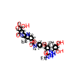 CCNC(=O)c1nnc(-c2cc(C(C)C)c(O)cc2O)n1-c1ccc(Oc2ccc(N(C)C(=O)Oc3ccc4nc5c(c(CC)c4c3)Cn3c-5cc4c(c3=O)COC(=O)C4O)cc2)cc1